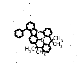 CC1(C)c2cccc3c2B2c4c1cccc4C(C)(C)c1ccc4c5c(-c6ccccc6)cccc5n-3c4c12